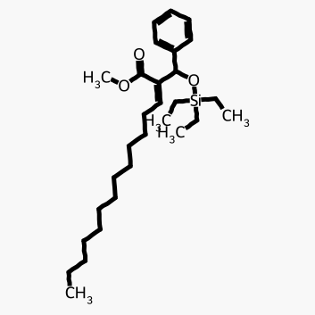 CCCCCCCCCCCC/C=C(\C(=O)OC)C(O[Si](CC)(CC)CC)c1ccccc1